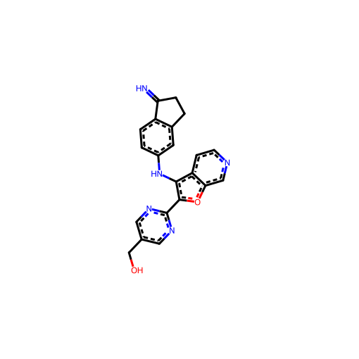 N=C1CCc2cc(Nc3c(-c4ncc(CO)cn4)oc4cnccc34)ccc21